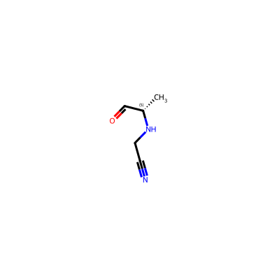 C[C@@H](C=O)NCC#N